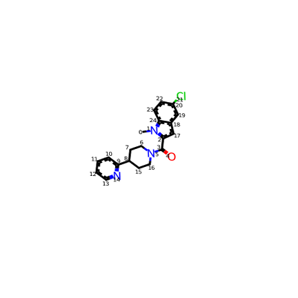 Cn1c(C(=O)N2CCC(c3ccccn3)CC2)cc2cc(Cl)ccc21